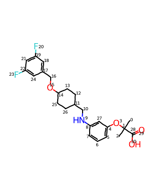 CC(C)(Oc1cccc(NCC2CCC(OCc3cc(F)cc(F)c3)CC2)c1)C(=O)O